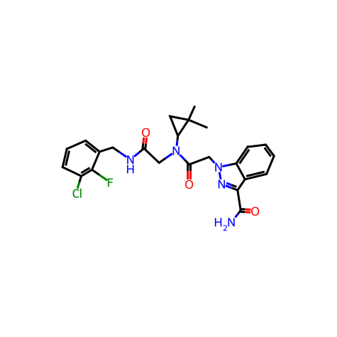 CC1(C)CC1N(CC(=O)NCc1cccc(Cl)c1F)C(=O)Cn1nc(C(N)=O)c2ccccc21